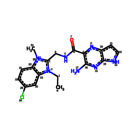 CCn1c(CNC(=O)c2nc3cc[nH]c3nc2N)[n+](C)c2ccc(Cl)cc21